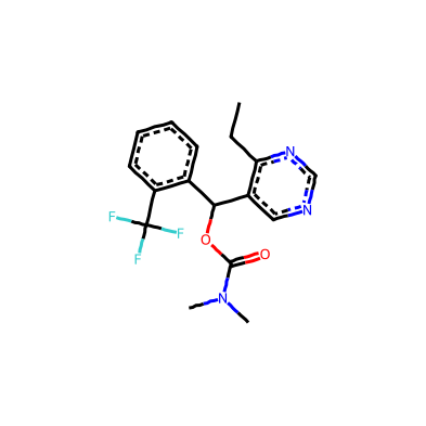 CCc1ncncc1C(OC(=O)N(C)C)c1ccccc1C(F)(F)F